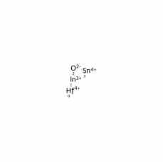 [Hf+4].[In+3].[O-2].[Sn+4]